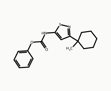 CC1(c2cc(NC(=O)Oc3ccccc3)sn2)CCCCC1